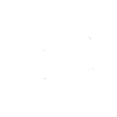 Bc1ccc(C(C)N)cc1Cl